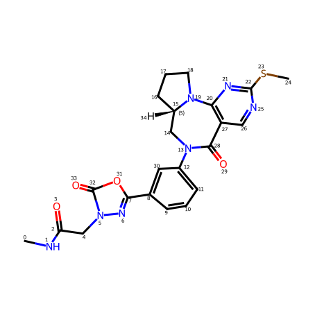 CNC(=O)Cn1nc(-c2cccc(N3C[C@@H]4CCCN4c4nc(SC)ncc4C3=O)c2)oc1=O